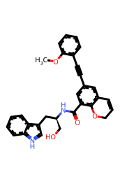 COc1ccccc1C#Cc1cc2c(c(C(=O)N[C@@H](CO)Cc3c[nH]c4ccccc34)c1)OCC=C2